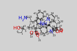 CC[C@](C)(O)C[C@@H]1C[C@@H]1[C@](C(=O)OC)(c1cc2c(cc1OC)N(C)[C@H]1[C@@](O)(C=O)C[C@]3(CC)C=CCN4CC[C@]21C43)c1[nH]c2ccccc2c1CCN